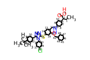 CCC(C(=O)O)c1ccc(NCc2ccc(Sc3nnc(-c4ccc(C(C)(C)C)cc4)n3-c3ccc(Cl)cc3)cc2OCc2ccccc2)cc1